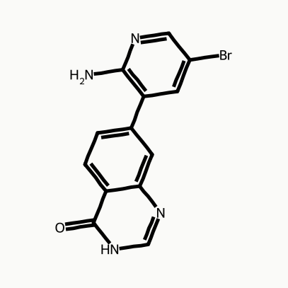 Nc1ncc(Br)cc1-c1ccc2c(=O)[nH]cnc2c1